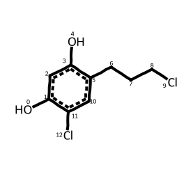 Oc1cc(O)c(CCCCl)cc1Cl